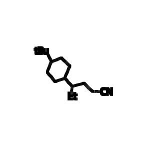 CCC(CCC#N)C1CCC(C(C)(C)C)CC1